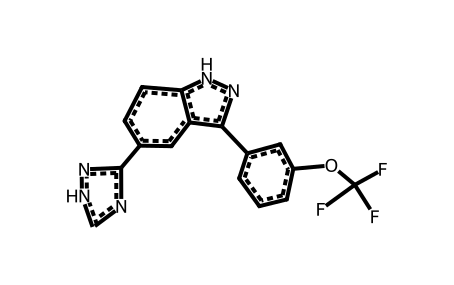 FC(F)(F)Oc1cccc(-c2n[nH]c3ccc(-c4nc[nH]n4)cc23)c1